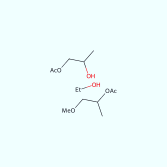 CC(=O)OCC(C)O.CCO.COCC(C)OC(C)=O